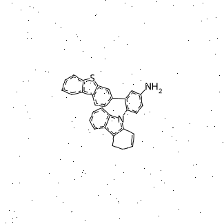 Nc1ccc(-n2c3c(c4ccccc42)CCC=C3)c(-c2ccc3c(c2)sc2ccccc23)c1